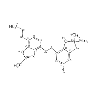 Cc1cc2c(OCc3cc(F)cc4c3OC(C)(C)C4)ccc(CCC(=O)O)c2o1